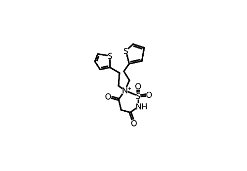 O=C1CC(=O)[N+](CCc2cccs2)(CCc2cccs2)S(=O)(=O)N1